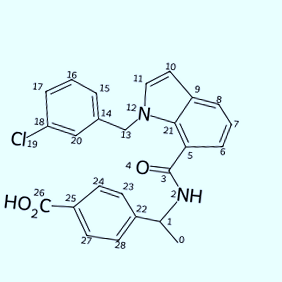 CC(NC(=O)c1cccc2ccn(Cc3cccc(Cl)c3)c12)c1ccc(C(=O)O)cc1